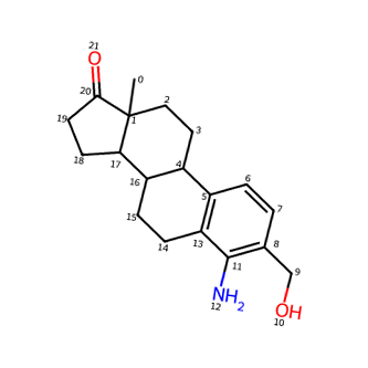 CC12CCC3c4ccc(CO)c(N)c4CCC3C1CCC2=O